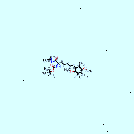 COc1c(C)c(C)c(OC)c(CCCCC[C@H](NC(=O)OC(C)(C)C)C(=O)NC(C)C)c1C